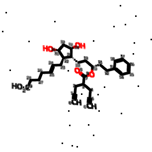 C#CCC(CC#C)C(=O)O[C@@H](CCc1ccccc1)CC[C@@H]1[C@@H](CC=CCCCC(=O)O)[C@@H](O)C[C@H]1O